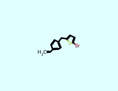 C=Cc1ccc(Cc2ccc(Br)s2)cc1